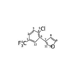 FC(F)(F)c1ccc(Cl)c(-c2c[c]oc2)c1